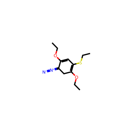 CCOC1=CC(SCC)=C(OCC)CC1=[N+]=[N-]